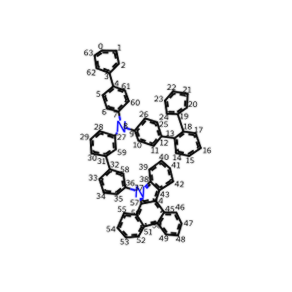 c1ccc(-c2ccc(N(c3ccc(-c4ccccc4-c4ccccc4)cc3)c3cccc(-c4cccc(-n5c6ccccc6c6c7ccccc7c7ccccc7c65)c4)c3)cc2)cc1